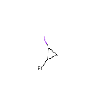 CCC1CC1I